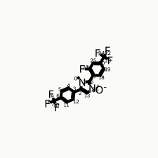 Cn1c(-c2ccc(C(F)(F)F)cc2)c[n+]([O-])c1-c1ccc(C(F)(F)F)cc1F